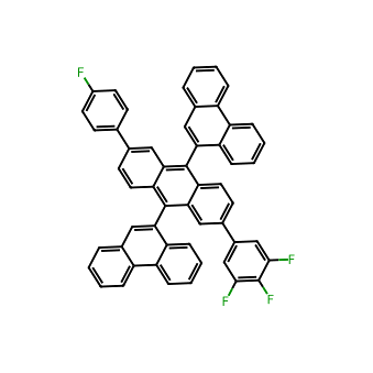 Fc1ccc(-c2ccc3c(-c4cc5ccccc5c5ccccc45)c4cc(-c5cc(F)c(F)c(F)c5)ccc4c(-c4cc5ccccc5c5ccccc45)c3c2)cc1